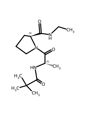 CCNC(=O)[C@@H]1CCCN1C(=O)[C@H](C)NC(=O)C(C)(C)C